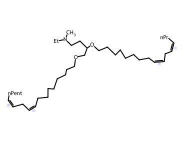 CCC/C=C\C/C=C\CCCCCCCCOC(CCN(C)CC)COCCCCCCCC/C=C\C/C=C\CCCCC